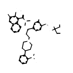 COc1c(Br)cc2ccccc2c1C(=O)N(C)C[C@@H](CCN1CCC(c2ccccc2[S+](C)[O-])CC1)c1ccc(Cl)c(Cl)c1.O=C(O)CC(O)(CC(=O)O)C(=O)O